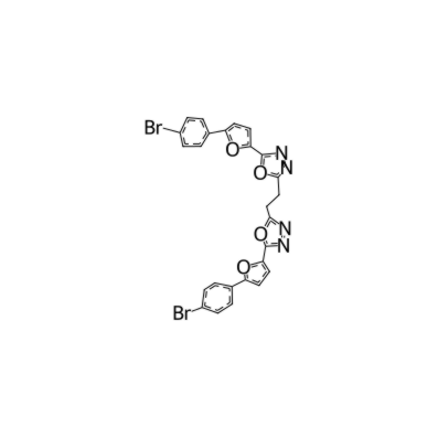 Brc1ccc(-c2ccc(-c3nnc(CCc4nnc(-c5ccc(-c6ccc(Br)cc6)o5)o4)o3)o2)cc1